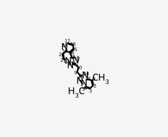 Cc1ccc(C)n2nc(CCc3nc4c5cccnc5ccn4n3)nc12